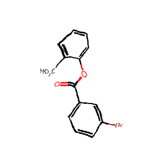 O=C(Oc1ccccc1C(=O)O)c1cccc(Br)c1